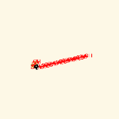 Cc1cc(S(C)(=O)=O)c(S(=O)(=O)O)cc1OOOOOOOOOOOOOOOOOOOOOOOOOOOOOOOOOO